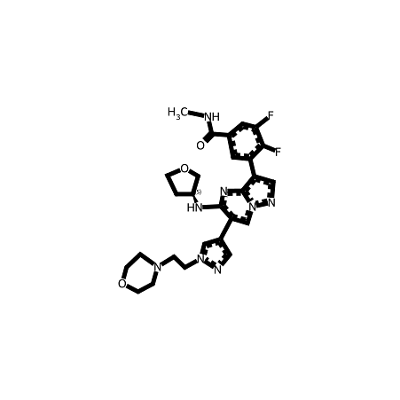 CNC(=O)c1cc(F)c(F)c(-c2cnn3cc(-c4cnn(CCN5CCOCC5)c4)c(N[C@H]4CCOC4)nc23)c1